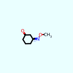 CO/N=C1/CCCC(=O)C1